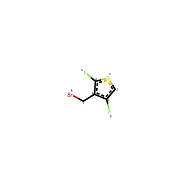 Fc1csc(F)c1CBr